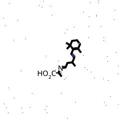 CC1=C(/C=C/C(C)CC=N[C@@H](C)C(=O)O)C(C)(C)CCC1